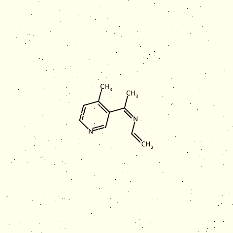 C=C/N=C(/C)c1cnccc1C